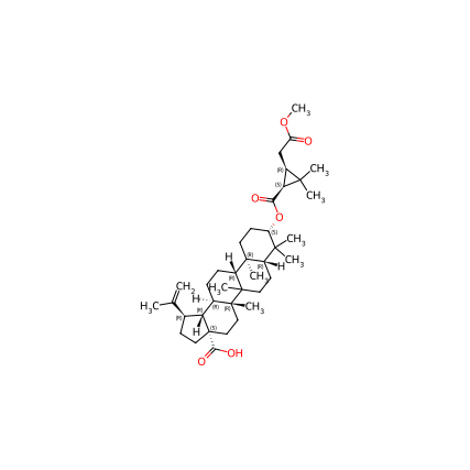 C=C(C)[C@@H]1CC[C@]2(C(=O)O)CC[C@]3(C)[C@H](CC[C@H]4C3(C)CC[C@H]3C(C)(C)[C@@H](OC(=O)[C@H]5[C@@H](CC(=O)OC)C5(C)C)CC[C@@]34C)[C@@H]12